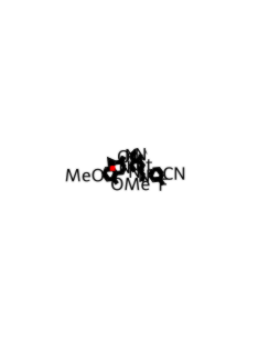 CCc1cc(C#N)c(F)cc1N(C)c1cc2c(ncn2C)c(N(Cc2ccc(OC)cc2OC)C(=O)C2CC2)n1